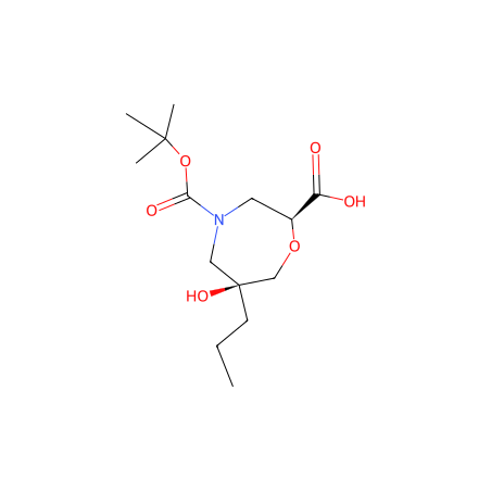 CCC[C@@]1(O)CO[C@H](C(=O)O)CN(C(=O)OC(C)(C)C)C1